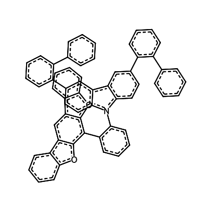 c1ccc(-c2ccccc2-c2ccc3c(c2)c2cc(-c4ccccc4-c4ccccc4)ccc2n3-c2ccccc2-c2c3oc4ccccc4c3cc3c2oc2ccccc23)cc1